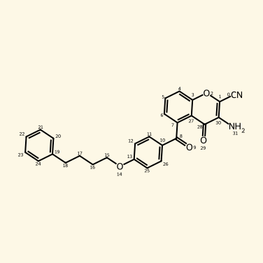 N#Cc1oc2cccc(C(=O)c3ccc(OCCCCc4ccccc4)cc3)c2c(=O)c1N